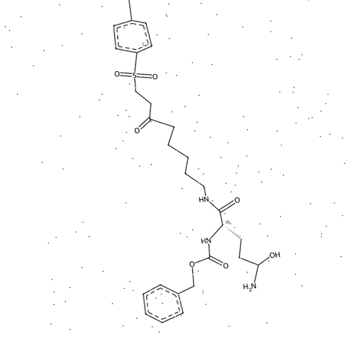 Cc1ccc(S(=O)(=O)CCC(=O)CCCCCNC(=O)[C@H](CCC(N)O)NC(=O)OCc2ccccc2)cc1